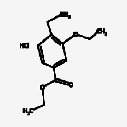 CCOC(=O)c1ccc(CN)c(OCC)c1.Cl